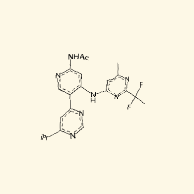 CC(=O)Nc1cc(Nc2cc(C)nc(C(C)(F)F)n2)c(-c2cc(C(C)C)ncn2)cn1